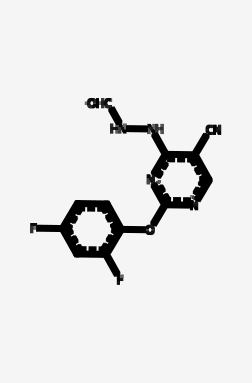 N#Cc1cnc(Oc2ccc(F)cc2F)nc1NN[C]=O